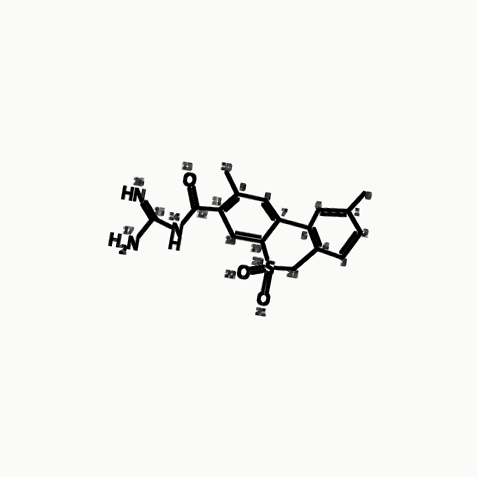 Cc1ccc2c(c1)-c1cc(C)c(C(=O)NC(=N)N)cc1S(=O)(=O)C2